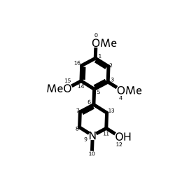 COc1cc(OC)c(C2=CCN(C)C(O)C2)c(OC)c1